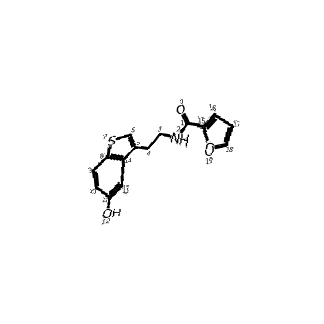 O=C(NCCc1csc2ccc(O)cc12)c1ccco1